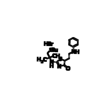 Br.CC(C)(C)CC(C)(C)NC1=NC(=O)C(CCNc2ccccc2)S1